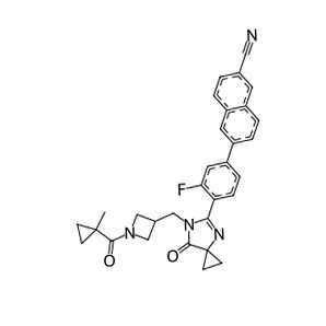 CC1(C(=O)N2CC(CN3C(=O)C4(CC4)N=C3c3ccc(-c4ccc5cc(C#N)ccc5c4)cc3F)C2)CC1